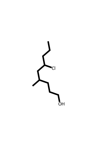 CCCC(Cl)CC(C)CCCO